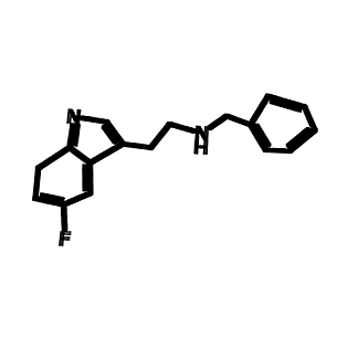 FC1=CCC2=NC=C(CCNCc3ccccc3)C2=C1